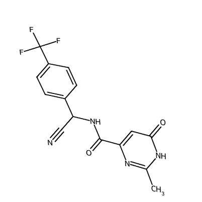 Cc1nc(C(=O)NC(C#N)c2ccc(C(F)(F)F)cc2)cc(=O)[nH]1